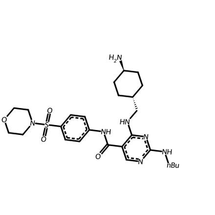 CCCCNc1ncc(C(=O)Nc2ccc(S(=O)(=O)N3CCOCC3)cc2)c(NC[C@H]2CC[C@H](N)CC2)n1